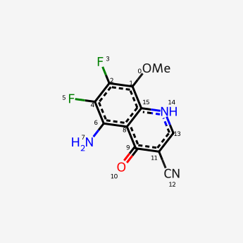 COc1c(F)c(F)c(N)c2c(=O)c(C#N)c[nH]c12